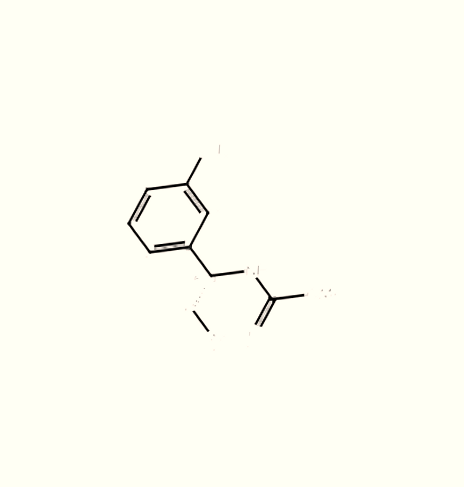 COC(=O)N[C@H](CC(C)=O)c1cccc(C)c1